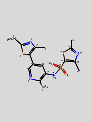 COc1ncc(-c2sc(NC(C)=O)nc2C)cc1NS(=O)(=O)c1sc(C)nc1C